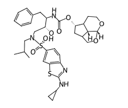 CC(C)CN(C[C@@H](O)C(Cc1ccccc1)NC(=O)O[C@H]1CC2CO[C@H]3OCCC1[C@@H]23)S(=O)(=O)c1ccc2nc(NC3CC3)sc2c1